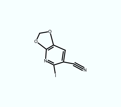 N#Cc1cc2c(nc1I)OCO2